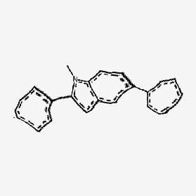 Cn1c(-c2cc[c]cc2)cc2cc(-c3ccccc3)ccc21